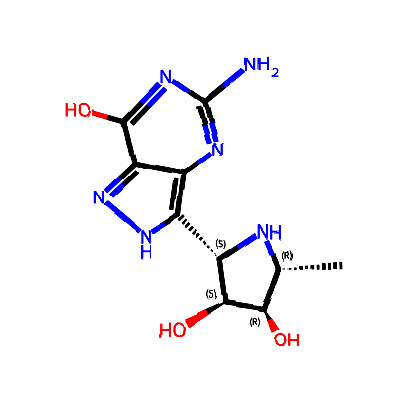 C[C@H]1N[C@@H](c2[nH]nc3c(O)nc(N)nc23)[C@H](O)[C@@H]1O